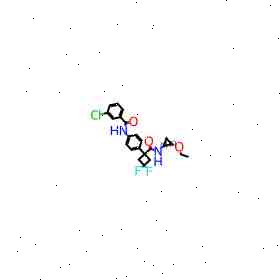 CCO[C@H]1C[C@@H]1NC(=O)C1(c2ccc(NC(=O)c3cccc(Cl)c3)cc2)CC(F)(F)C1